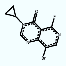 O=c1c2c(F)ncc(Br)c2ncn1C1CC1